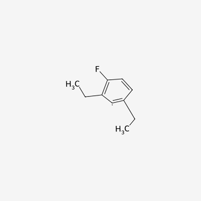 CCc1[c]c(CC)c(F)cc1